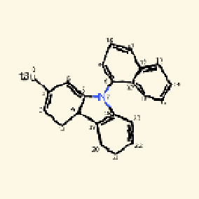 CC(C)(C)C1=CCC2C(=C1)N(c1cccc3ccccc13)C1=C2CCC=C1